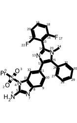 CC(C)S(=O)(=O)n1c(N)nc2ccc(-c3nc(-c4c(F)cccc4F)n(C)c3-c3ccccc3)cc21